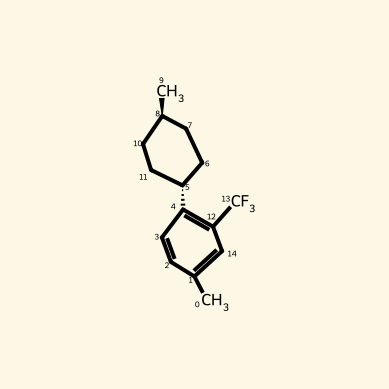 Cc1ccc([C@H]2CC[C@H](C)CC2)c(C(F)(F)F)c1